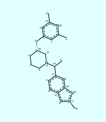 Cc1cc(C[C@H]2CCCN(C(C)c3ccc4cn(C)nc4c3)C2)cc(C)n1